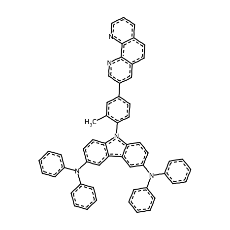 Cc1cc(-c2cnc3c(ccc4cccnc43)c2)ccc1-n1c2ccc(N(c3ccccc3)c3ccccc3)cc2c2cc(N(c3ccccc3)c3ccccc3)ccc21